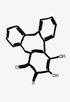 O=C1C(=O)c2c(c3ccccc3c3ccccc23)C(O)=C1O